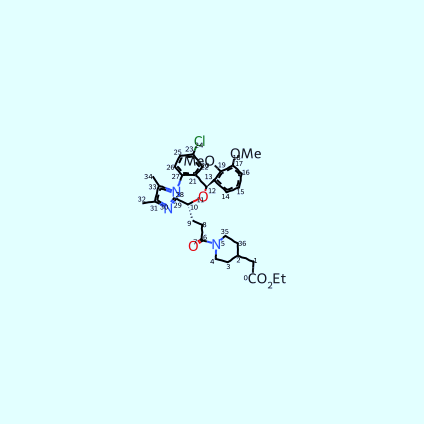 CCOC(=O)CC1CCN(C(=O)CC[C@H]2O[C@H](c3cccc(OC)c3OC)c3cc(Cl)ccc3-n3c2nc(C)c3C)CC1